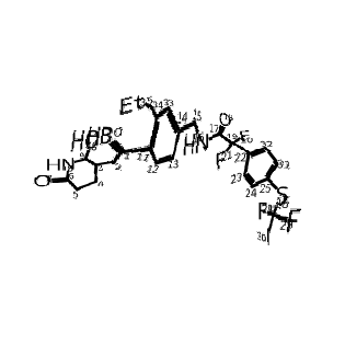 B=C(CC1CCC(=O)NC1O)c1ccc(CNC(=O)C(F)(F)c2ccc(SC(F)(F)I)cc2)cc1CC